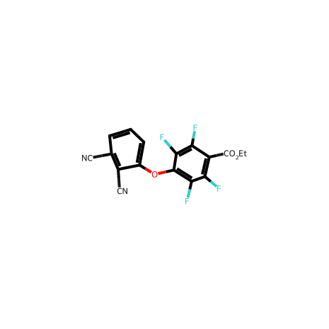 CCOC(=O)c1c(F)c(F)c(Oc2cccc(C#N)c2C#N)c(F)c1F